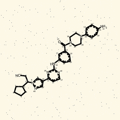 N#CCC(C1CCCC1)n1cc(-c2ccnc(Nc3cccc(C(=O)N4CCN(c5ccc(N)cc5)CC4)c3)n2)cn1